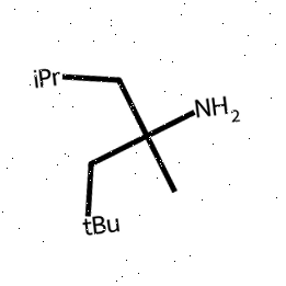 CC(C)CC(C)(N)CC(C)(C)C